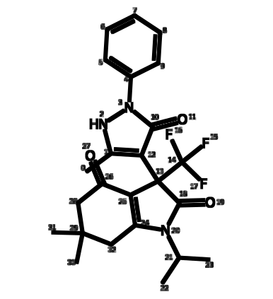 Cc1[nH]n(-c2ccccc2)c(=O)c1C1(C(F)(F)F)C(=O)N(C(C)C)C2=C1C(=O)CC(C)(C)C2